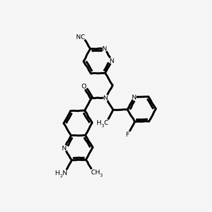 Cc1cc2cc(C(=O)N(Cc3ccc(C#N)nn3)C(C)c3ncccc3F)ccc2nc1N